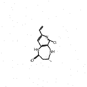 C=Cc1cc2c(c(Cl)n1)N[C@H](C)CC(=O)N2